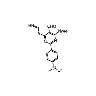 CNc1nc(-c2ccc([S+](C)[O-])cc2)nc(SC=N)c1C=O